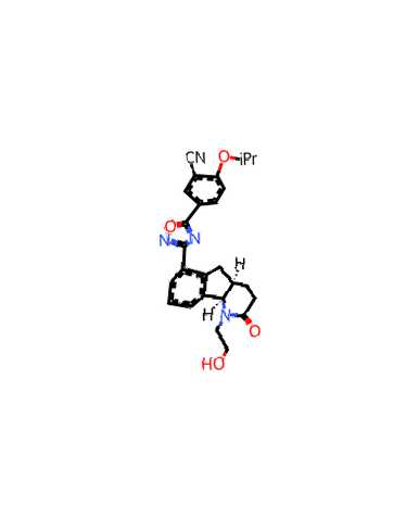 CC(C)Oc1ccc(-c2nc(-c3cccc4c3C[C@H]3CCC(=O)N(CCO)[C@@H]43)no2)cc1C#N